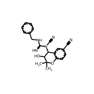 CC1(C)Oc2ccc(C#N)cc2C(N(C#N)C(=N)NCc2ccccc2)C1O